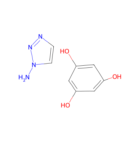 Nn1ccnn1.Oc1cc(O)cc(O)c1